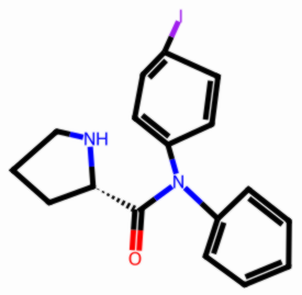 O=C([C@@H]1CCCN1)N(c1ccccc1)c1ccc(I)cc1